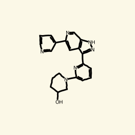 OC1CCCN(c2cccc(-c3n[nH]c4cnc(-c5cccnc5)cc34)n2)C1